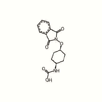 O=C(O)N[C@H]1CC[C@@H](ON2C(=O)c3ccccc3C2=O)CC1